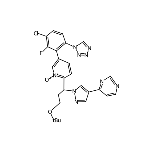 CC(C)(C)OCCC(c1ccc(-c2c(-n3cnnn3)ccc(Cl)c2F)c[n+]1[O-])n1cc(-c2ccncn2)cn1